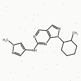 CC1CCCCC1n1ncc2cnc(Nc3cnn(C)c3)nc21